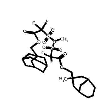 CN(S(=O)(=O)C(F)(F)C(=O)OCC1(C)CC2CCCC(C2)C1)S(=O)(=O)C(F)(F)C(=O)OCC12CC3CC(CC(C3)C1)C2